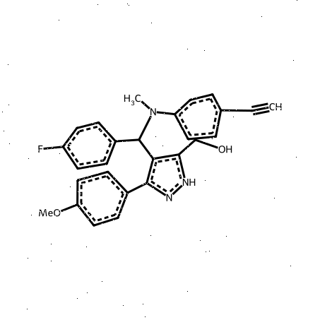 C#Cc1ccc(N(C)C(c2ccc(F)cc2)c2c(-c3ccc(OC)cc3)n[nH]c2CO)cc1